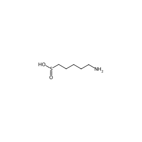 NCCCCCS(=O)O